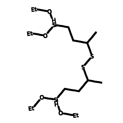 CCO[SiH](CCC(C)SSC(C)CC[SiH](OCC)OCC)OCC